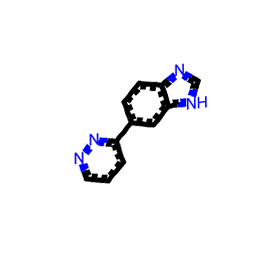 c1cnnc(-c2ccc3nc[nH]c3c2)c1